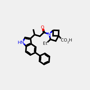 CCC1CC2(C(=O)O)CC(C2)N1C(=O)CC(C)c1c[nH]c2ccc(-c3ccccc3)cc12